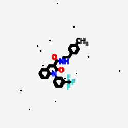 Cc1ccc(CCNC(=O)c2cc3ccccc3n(-c3cccc(C(F)(F)F)c3)c2=O)cc1